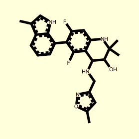 Cc1cc(CNC2c3c(cc(F)c(-c4cccc5c(C)c[nH]c45)c3F)NC(C)(C)C2O)no1